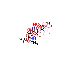 CO[C@@H]1OC(CO)[C@@H](O[C@@H]2OC(CO)[C@@H](O[C@@H]3OC(CO)[C@@H](OC)C(O)C3N)[C@H](O)C2N)C(O)C1NC(C)=O